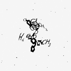 CN1CCN(C2(Cc3ccccc3)CCC(CN(C)C(=O)COCCN(C)S(=O)(=O)c3c(Cl)cc(Cl)cc3Cl)CC2)CC1